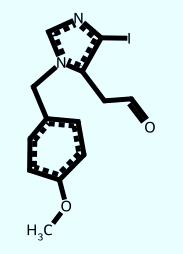 COc1ccc(Cn2cnc(I)c2CC=O)cc1